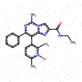 CCNC(=O)c1cn2c(N)nc(-c3ccccc3)c(-c3ccc(C)[n+]([O-])c3C)c2n1